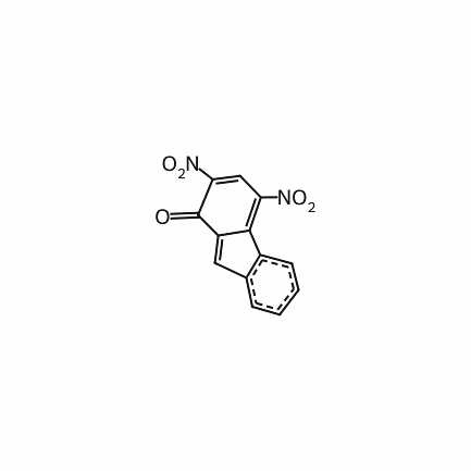 O=C1C2=Cc3ccccc3C2=C([N+](=O)[O-])C=C1[N+](=O)[O-]